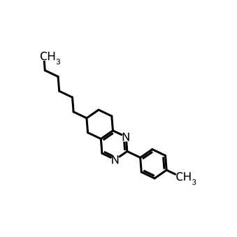 CCCCCCC1CCc2nc(-c3ccc(C)cc3)ncc2C1